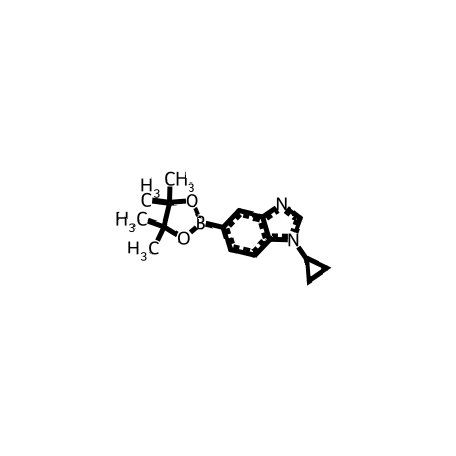 CC1(C)OB(c2ccc3c(c2)ncn3C2CC2)OC1(C)C